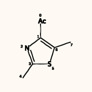 CC(=O)c1nc(C)sc1C